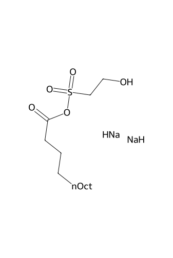 CCCCCCCCCCCC(=O)OS(=O)(=O)CCO.[NaH].[NaH]